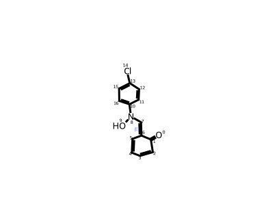 O=C1C=CC=C/C1=C\N(O)c1ccc(Cl)cc1